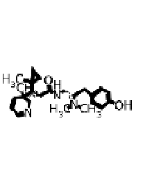 CN(C)[C@H](CNC(=O)C[C@@H](C1(C)C=CC=NC1)C1(C)CC1)Cc1ccc(O)cc1